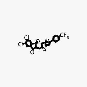 O=C1C(=Cc2cc3oc(-c4ccc(C(F)(F)F)cc4)cc3s2)C(=O)c2cc(Cl)c(Cl)cc21